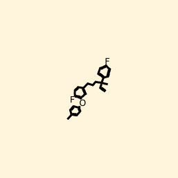 C=CC(C)(CCCc1ccc(F)c(Oc2ccc(C)cc2)c1)c1ccc(F)cc1